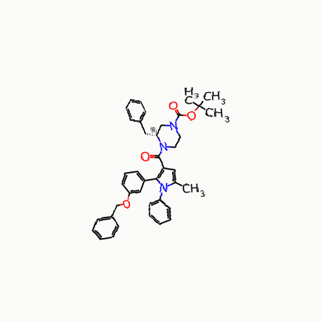 Cc1cc(C(=O)N2CCN(C(=O)OC(C)(C)C)C[C@H]2Cc2ccccc2)c(-c2cccc(OCc3ccccc3)c2)n1-c1ccccc1